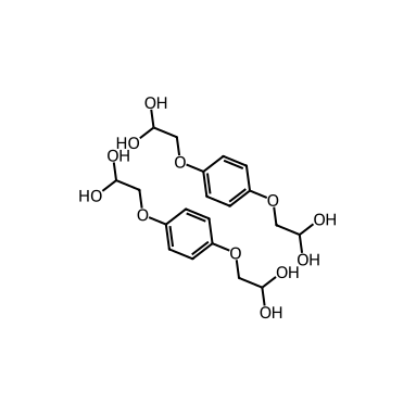 OC(O)COc1ccc(OCC(O)O)cc1.OC(O)COc1ccc(OCC(O)O)cc1